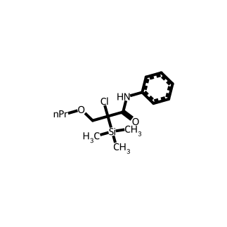 CCCOCC(Cl)(C(=O)Nc1ccccc1)[Si](C)(C)C